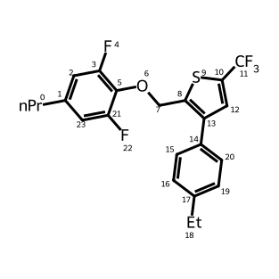 CCCc1cc(F)c(OCc2sc(C(F)(F)F)cc2-c2ccc(CC)cc2)c(F)c1